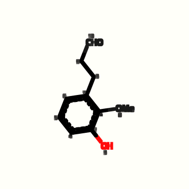 COc1c(O)cccc1CCC=O